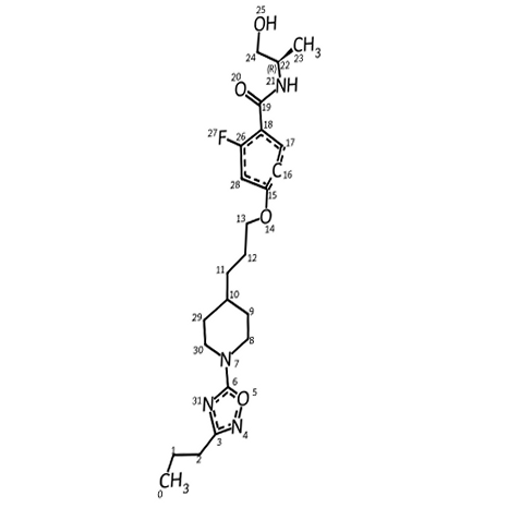 CCCc1noc(N2CCC(CCCOc3ccc(C(=O)N[C@H](C)CO)c(F)c3)CC2)n1